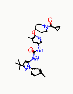 Cc1ccc(-n2nc(C(C)(C)C)cc2NC(=O)Nc2cnc(OC3CCN(C(=O)C4CC4)CC3)c(C)c2)cc1